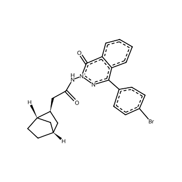 O=C(C[C@H]1C[C@@H]2CC[C@H]1C2)Nn1nc(-c2ccc(Br)cc2)c2ccccc2c1=O